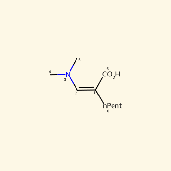 CCCCCC(=CN(C)C)C(=O)O